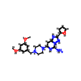 COc1cc(CN2CCN(c3cc4nc(-c5ccco5)nn4c(N)n3)CC2)cc(OC)c1